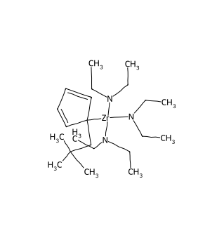 CC[N](CC)[Zr]([N](CC)CC)([N](CC)CC)[C]1(CC(C)(C)C)C=CC=C1